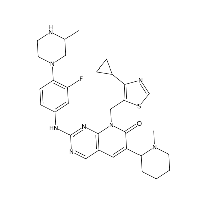 CC1CN(c2ccc(Nc3ncc4cc(C5CCCCN5C)c(=O)n(Cc5scnc5C5CC5)c4n3)cc2F)CCN1